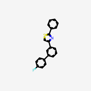 Fc1ccc(-c2cccc(-c3csc(-c4ccccc4)n3)c2)cc1